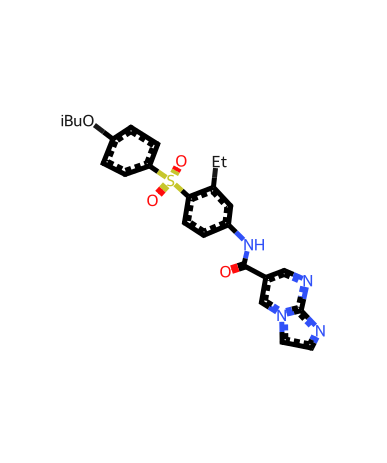 CCc1cc(NC(=O)c2cnc3nccn3c2)ccc1S(=O)(=O)c1ccc(OCC(C)C)cc1